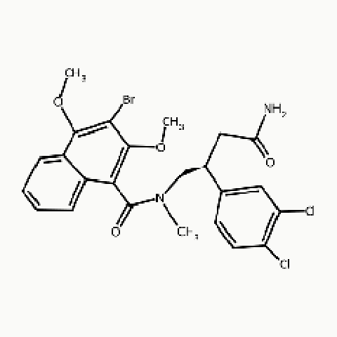 COc1c(Br)c(OC)c2ccccc2c1C(=O)N(C)C[C@@H](CC(N)=O)c1ccc(Cl)c(Cl)c1